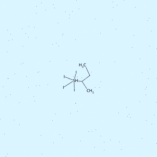 CCC(C)[SH](I)(I)(I)I